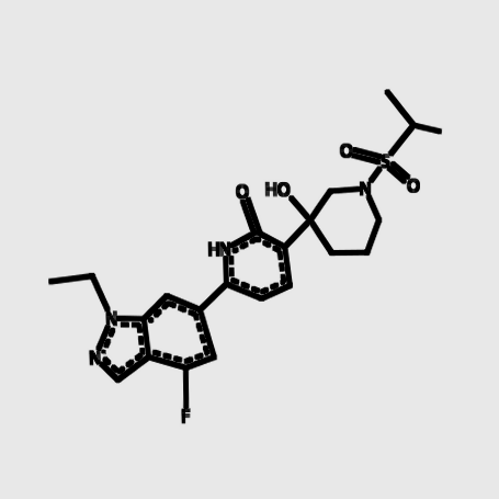 CCn1ncc2c(F)cc(-c3ccc(C4(O)CCCN(S(=O)(=O)C(C)C)C4)c(=O)[nH]3)cc21